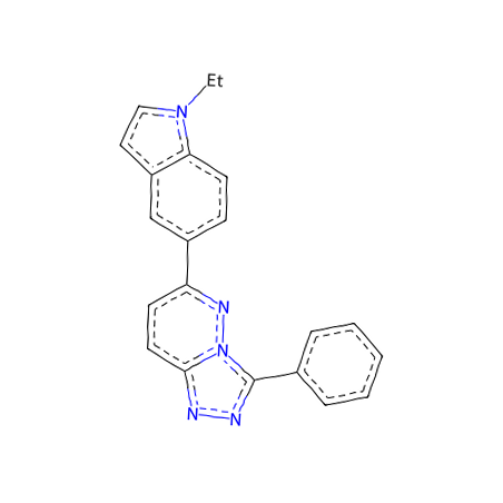 CCn1ccc2cc(-c3ccc4nnc(-c5ccccc5)n4n3)ccc21